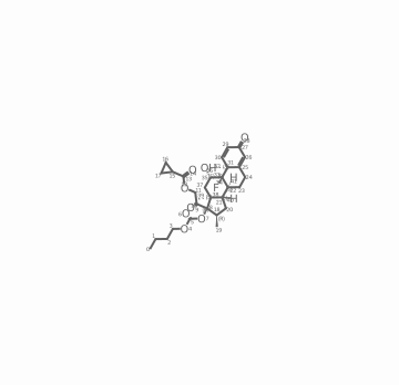 CCCCOC(=O)O[C@]1(C(=O)COC(=O)C2CC2)[C@H](C)C[C@H]2[C@@H]3CCC4=CC(=O)C=C[C@]4(C)[C@@]3(F)[C@@H](O)C[C@@]21C